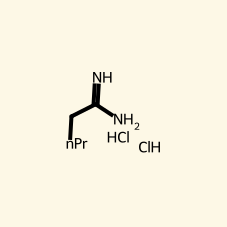 CCCCC(=N)N.Cl.Cl